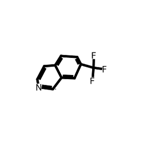 FC(F)(F)c1ccc2ccn[c]c2c1